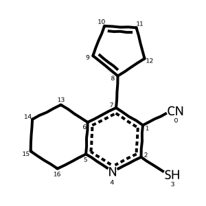 N#Cc1c(S)nc2c(c1C1=CC=CC1)CCCC2